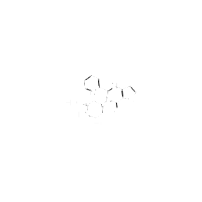 C[C@H]1C[C@@H](n2c(-c3ccccn3)nc3ccsc3c2=O)CCN1.Cl